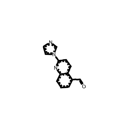 O=Cc1cccc2nc(-n3ccnc3)ccc12